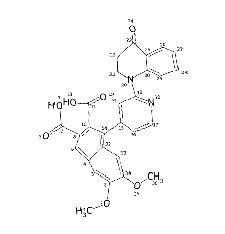 COc1cc2cc(C(=O)O)c(C(=O)O)c(-c3ccnc(N4CCC(=O)c5ccccc54)c3)c2cc1OC